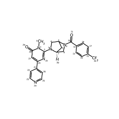 Cn1c(N2CC3C[C@H]2CN3C(=O)c2ccc(C(F)(F)F)cc2)nc(-c2ccncc2)cc1=O